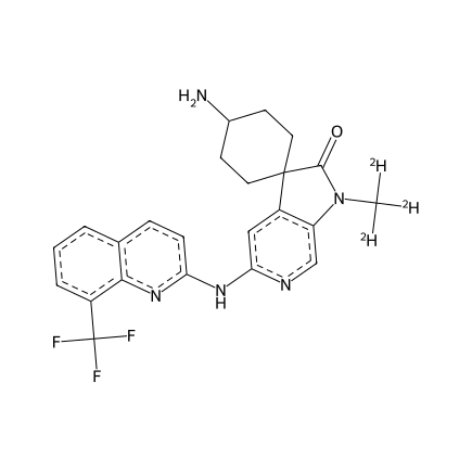 [2H]C([2H])([2H])N1C(=O)C2(CCC(N)CC2)c2cc(Nc3ccc4cccc(C(F)(F)F)c4n3)ncc21